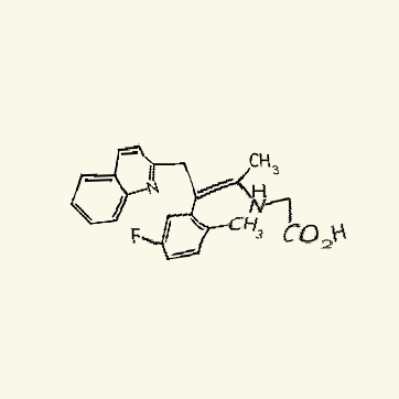 C/C(NCC(=O)O)=C(\Cc1ccc2ccccc2n1)c1cc(F)ccc1C